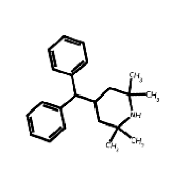 CC1(C)CC(C(c2ccccc2)c2ccccc2)CC(C)(C)N1